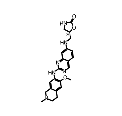 COc1cc2c(cc1Nc1ncc3ccc(NC[C@H]4CNC(=O)O4)cc3n1)CN(C)CC2